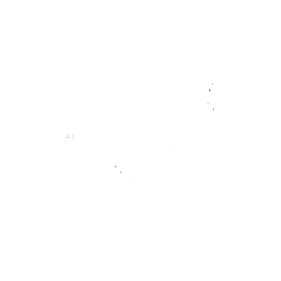 CC(C)N1CCCC(C(C)(C)CCC(C)N2CCC(C(C)(C)C)CC2)C1